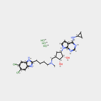 CN(CCCCc1nc2cc(Cl)c(Cl)cc2[nH]1)CC1C[C@@H](n2ccc3c(NC4CC4)ncnc32)[C@H](O)[C@@H]1O.Cl.Cl.Cl